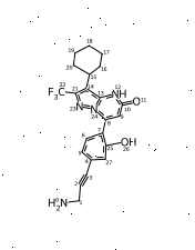 NCC#Cc1ccc(-c2cc(=O)[nH]c3c(C4CCCCC4)c(C(F)(F)F)nn23)c(O)c1